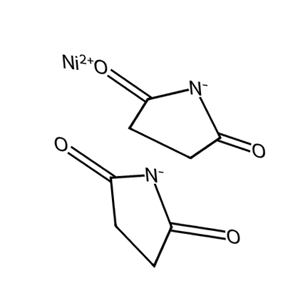 O=C1CCC(=O)[N-]1.O=C1CCC(=O)[N-]1.[Ni+2]